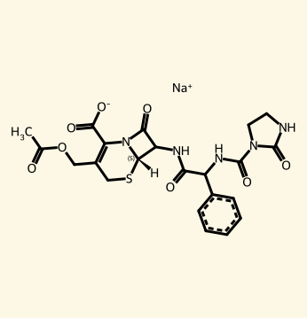 CC(=O)OCC1=C(C(=O)[O-])N2C(=O)C(NC(=O)C(NC(=O)N3CCNC3=O)c3ccccc3)[C@@H]2SC1.[Na+]